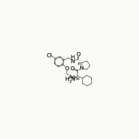 CC(=O)COc1ccc(Cl)cc1CNC(=O)[C@@H]1CCCN1C(=O)[C@H](N)C1CCCCC1